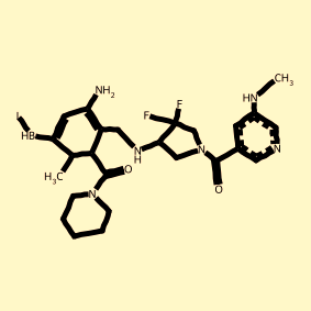 CNc1cncc(C(=O)N2CC(NCC3=C(N)C=C(BI)C(C)C3C(=O)N3CCCCC3)C(F)(F)C2)c1